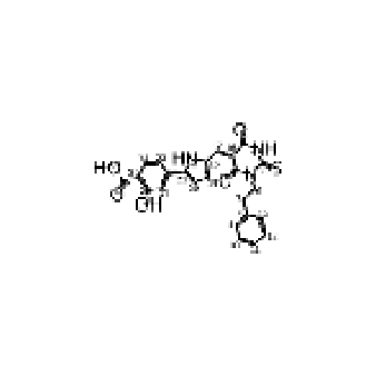 O=C1NC(=S)N(CCc2ccccc2)C(=O)/C1=C\c1ccc(-c2ccc(C(=O)O)c(O)c2)[nH]1